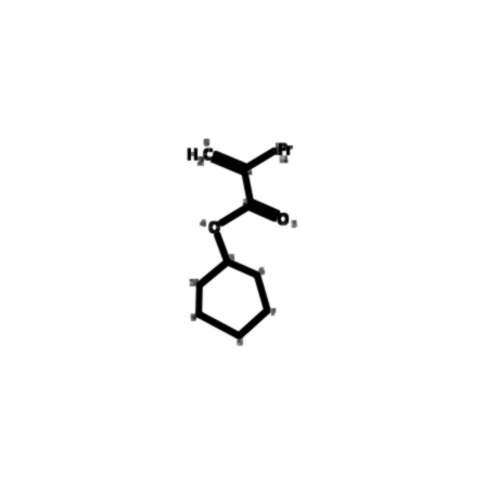 C=C(C(=O)OC1CCCCC1)C(C)C